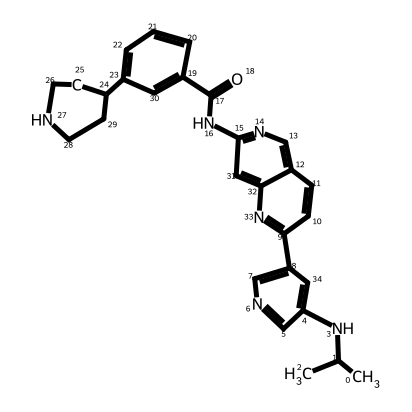 CC(C)Nc1cncc(-c2ccc3cnc(NC(=O)c4cccc(C5CCNCC5)c4)cc3n2)c1